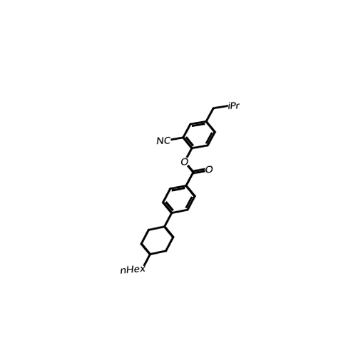 CCCCCCC1CCC(c2ccc(C(=O)Oc3ccc(CC(C)C)cc3C#N)cc2)CC1